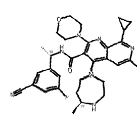 Cc1cc2c(N3CCN[C@@H](C)CC3)c(C(=O)N[C@@H](C)c3cc(F)cc(C#N)c3)c(N3CCOCC3)nc2c(C2CC2)n1